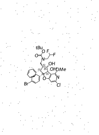 COc1nc(Cl)cc2c1[C@]1(O)[C@H](O)[C@H](CN(CC(F)F)C(=O)OC(C)(C)C)[C@@H](c3ccccc3)[C@]1(c1ccc(Br)cc1)O2